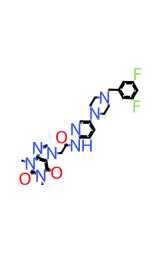 Cn1c(=O)c2c(ncn2CC(=O)Nc2ccc(N3CCN(Cc4cc(F)cc(F)c4)CC3)cn2)n(C)c1=O